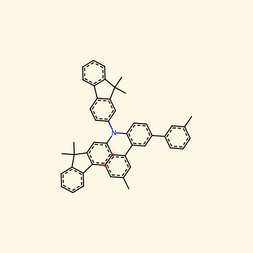 Cc1cccc(-c2ccc(N(c3ccc4c(c3)C(C)(C)c3ccccc3-4)c3ccc4c(c3)C(C)(C)c3ccccc3-4)c(-c3cccc(C)c3)c2)c1